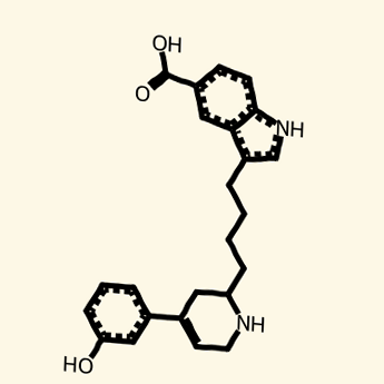 O=C(O)c1ccc2[nH]cc(CCCCC3CC(c4cccc(O)c4)=CCN3)c2c1